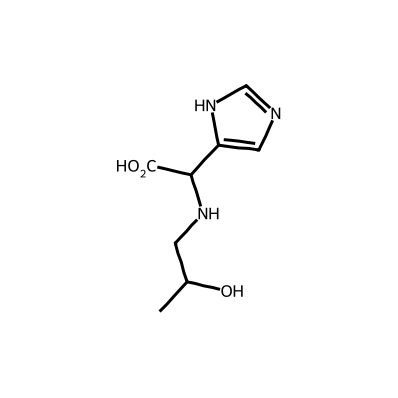 CC(O)CNC(C(=O)O)c1cnc[nH]1